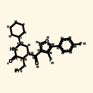 CC(C)C[C@H]1C(=O)N[C@@H](C2CCCCC2)CN1C(=O)c1noc(-c2ccc(F)cc2)c1F